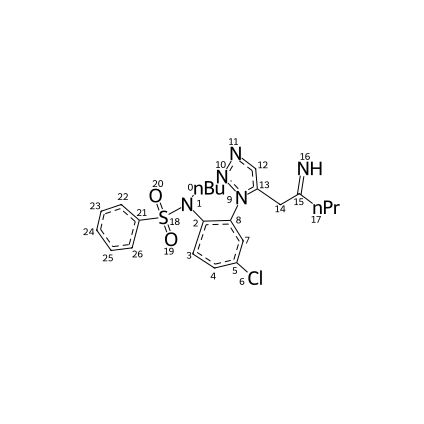 CCCCN(c1ccc(Cl)cc1-n1nncc1CC(=N)CCC)S(=O)(=O)c1ccccc1